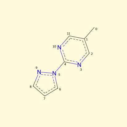 Cc1cnc(-n2cccn2)nc1